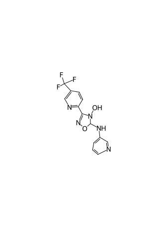 ON1C(c2ccc(C(F)(F)F)cn2)=NOC1Nc1cccnc1